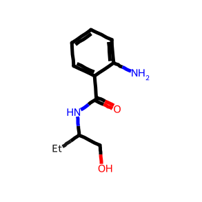 CCC(CO)NC(=O)c1ccccc1N